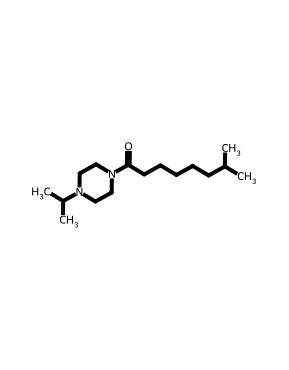 CC(C)CCCCCC(=O)N1CCN(C(C)C)CC1